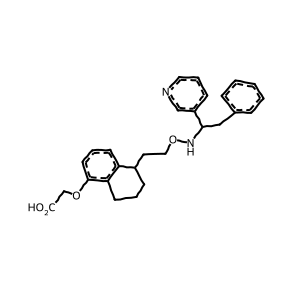 O=C(O)COc1cccc2c1CCCC2CCONC(Cc1ccccc1)c1cccnc1